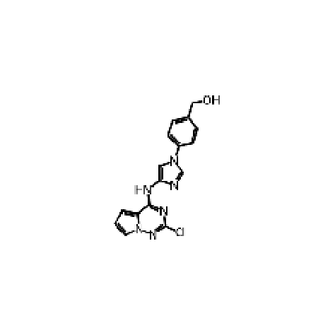 OCc1ccc(-n2cnc(Nc3nc(Cl)nn4cccc34)c2)cc1